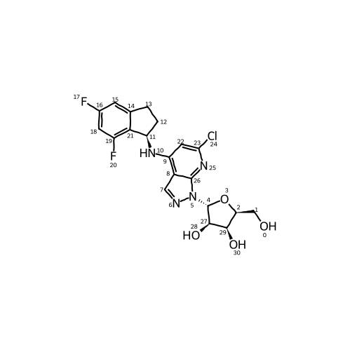 OC[C@@H]1O[C@@H](n2ncc3c(N[C@@H]4CCc5cc(F)cc(F)c54)cc(Cl)nc32)[C@H](O)[C@@H]1O